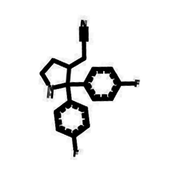 N#CCC1CCNC1(c1ccc(F)cc1)c1ccc(F)cc1